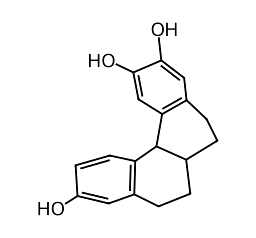 Oc1ccc2c(c1)CCC1CCc3cc(O)c(O)cc3C21